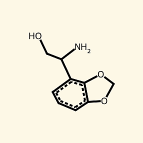 NC(CO)c1cccc2c1OCO2